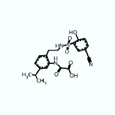 CC(C)c1ccc(CCNS(=O)(=O)c2cc(C#N)ccc2O)c(NC(=O)C(=O)O)c1